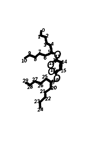 CCCCCC(CCCCC)OC(=O)/C=C\C(=O)OC(CCCCC)CCCCC